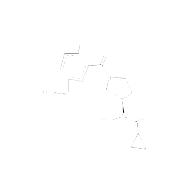 COc1ccc(F)c(C(=O)N2CC[C@@H](N(C)C(=O)C3CC3)C2)c1